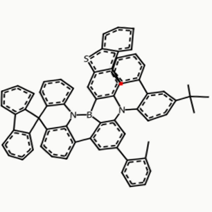 Cc1ccccc1-c1cc2c3c(c1)N(c1ccc(C(C)(C)C)cc1-c1ccccc1)c1cc4c(cc1B3N1c3ccccc3C3(c5ccccc5-c5ccccc53)c3cccc-2c31)sc1ccccc14